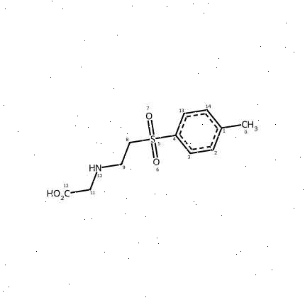 Cc1ccc(S(=O)(=O)CCNCC(=O)O)cc1